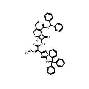 CCO/N=C(\C(=O)NC1C(=O)N2C(C(=O)OC(c3ccccc3)c3ccccc3)=C(CI)CS[C@H]12)c1csc(NC(c2ccccc2)(c2ccccc2)c2ccccc2)n1